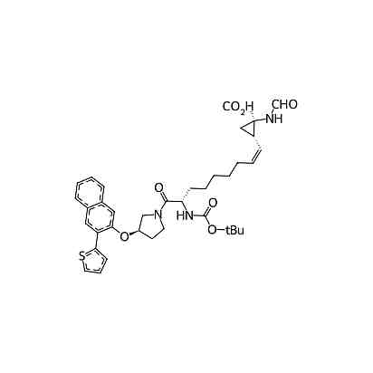 CC(C)(C)OC(=O)N[C@@H](CCCCC/C=C\[C@@H]1C[C@]1(NC=O)C(=O)O)C(=O)N1CC[C@@H](Oc2cc3ccccc3cc2-c2cccs2)C1